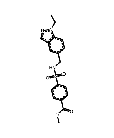 CCn1ncc2cc(CNS(=O)(=O)c3ccc(C(=O)OC)cc3)ccc21